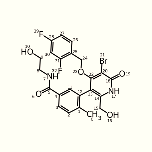 Cc1ccc(C(=O)NCCO)cc1-c1c(CO)[nH]c(=O)c(Br)c1OCc1ccc(F)cc1F